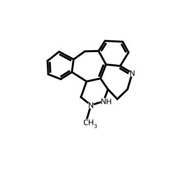 CN1CC2C3=c4c(cccc4=NCCC3N1)Cc1ccccc12